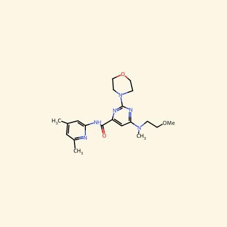 COCCN(C)c1cc(C(=O)Nc2cc(C)cc(C)n2)nc(N2CCOCC2)n1